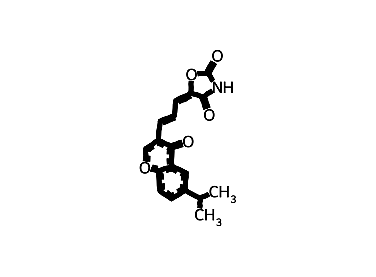 CC(C)c1ccc2occ(C=CC=C3OC(=O)NC3=O)c(=O)c2c1